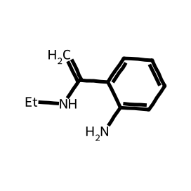 C=C(NCC)c1ccccc1N